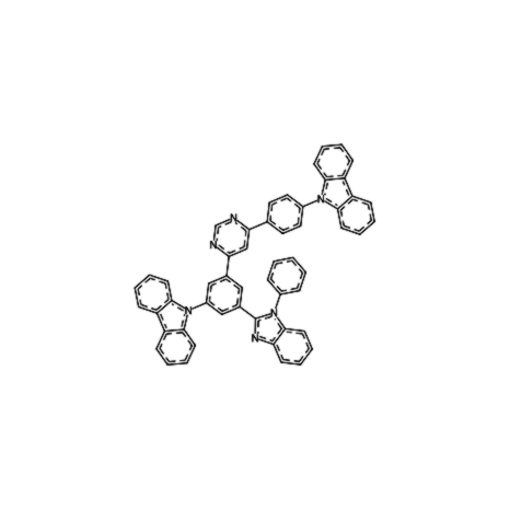 c1ccc(-n2c(-c3cc(-c4cc(-c5ccc(-n6c7ccccc7c7ccccc76)cc5)ncn4)cc(-n4c5ccccc5c5ccccc54)c3)nc3ccccc32)cc1